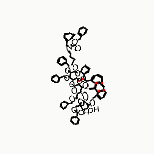 O=C(OCc1ccccc1)N(CCCCCO[C@@H]1OC(COCc2ccccc2)[C@@H](O[C@@H]2OC(COCc3ccccc3)[C@H](O[C@H]3OC4COC(c5ccccc5)O[C@@H]4C(O)C3OCc3ccccc3)C(OCc3ccccc3)C2OCc2ccccc2)C(OCc2ccccc2)C1OCc1ccccc1)Cc1ccccc1